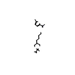 C/C(=N/OCCCCC1COC(C)(C(=O)O)OC1)c1ccc(C)o1